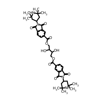 CC1(C)CC(N2C(=O)c3ccc(C(=O)OCC(O)C(O)COC(=O)c4ccc5c(c4)C(=O)N(C4CC(C)(C)NC(C)(C)C4)C5=O)cc3C2=O)CC(C)(C)N1